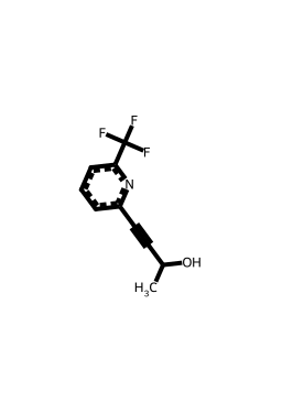 CC(O)C#Cc1cccc(C(F)(F)F)n1